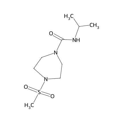 CC(C)NC(=O)N1CCN(S(C)(=O)=O)CC1